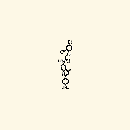 CCc1ccc(OCC(=O)Nc2ccc3nc(N4CCC(N(C)C)CC4)cc(C)c3c2)c(Cl)c1